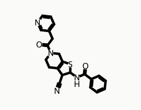 N#CC1C2=C(CN(C(=O)Cc3cccnc3)CC2)SC1NC(=O)c1ccccc1